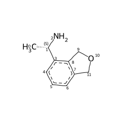 C[C@H](N)c1cccc2c1COC2